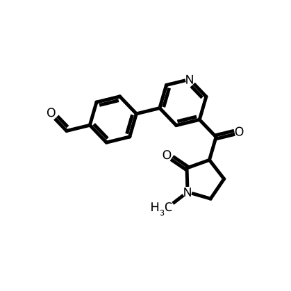 CN1CCC(C(=O)c2cncc(-c3ccc(C=O)cc3)c2)C1=O